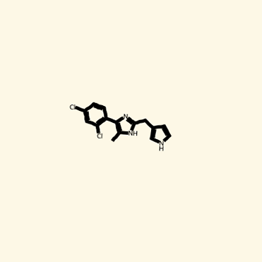 Cc1[nH]c(Cc2cc[nH]c2)nc1-c1ccc(Cl)cc1Cl